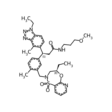 CC[C@@H]1CN(Cc2cc([C@H](CC(=O)NCCCOC)c3ccc4c(nnn4CC)c3C)ccc2C)S(=O)(=O)c2cccnc2O1